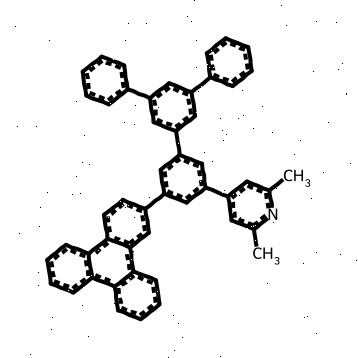 Cc1cc(-c2cc(-c3cc(-c4ccccc4)cc(-c4ccccc4)c3)cc(-c3ccc4c5ccccc5c5ccccc5c4c3)c2)cc(C)n1